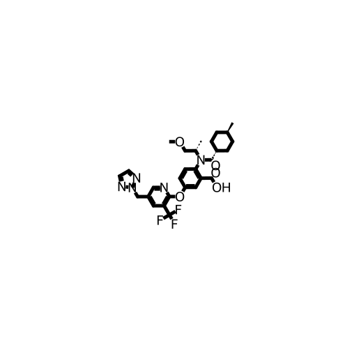 COC[C@H](C)N(c1ccc(Oc2ncc(Cn3nccn3)cc2C(F)(F)F)cc1C(=O)O)C(=O)[C@H]1CC[C@H](C)CC1